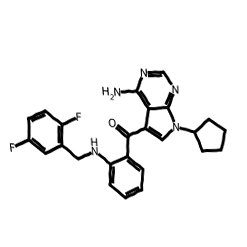 Nc1ncnc2c1c(C(=O)c1ccccc1NCc1cc(F)ccc1F)cn2C1CCCC1